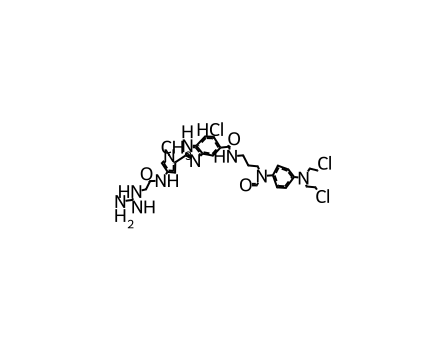 Cl.Cn1cc(NC(=O)CNC(=N)N)cc1-c1nc2cc(C(=O)NCCCN(C=O)c3ccc(N(CCCl)CCCl)cc3)ccc2[nH]1